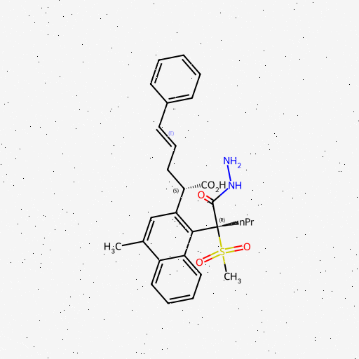 CCC[C@](C(=O)NN)(c1c([C@H](C/C=C/c2ccccc2)C(=O)O)cc(C)c2ccccc12)S(C)(=O)=O